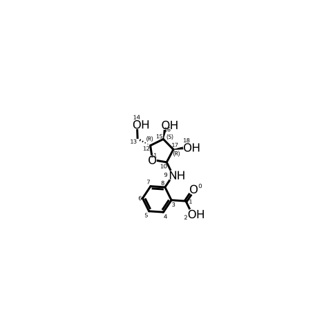 O=C(O)c1ccccc1NC1O[C@H](CO)[C@@H](O)[C@H]1O